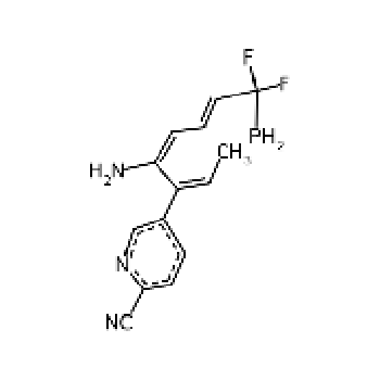 C\C=C(/C(N)=C\C=C\C(F)(F)P)c1ccc(C#N)nc1